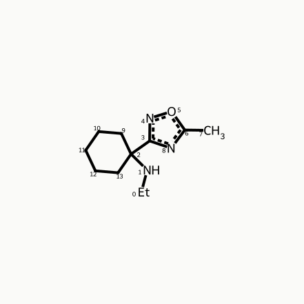 CCNC1(c2noc(C)n2)CCCCC1